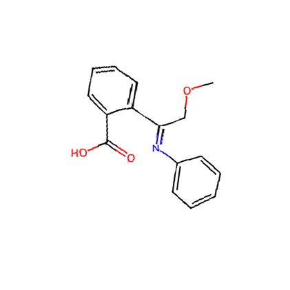 COCC(=Nc1ccccc1)c1ccccc1C(=O)O